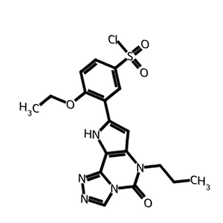 CCCn1c(=O)n2cnnc2c2[nH]c(-c3cc(S(=O)(=O)Cl)ccc3OCC)cc21